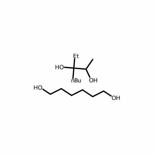 CCCCC(O)(CC)C(C)O.OCCCCCCO